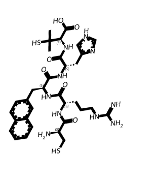 CC(C)(S)[C@H](NC(=O)[C@H](Cc1c[nH]cn1)NC(=O)[C@H](Cc1ccc2ccccc2c1)NC(=O)[C@H](CCCNC(=N)N)NC(=O)[C@H](N)CS)C(=O)O